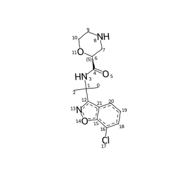 CC(C)(NC(=O)[C@@H]1CNCCO1)c1noc2c(Cl)cccc12